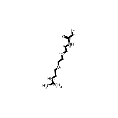 CC(C)NCCOCCOCCNC(=O)CI